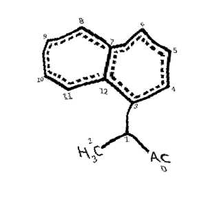 CC(=O)C(C)c1cccc2ccccc12